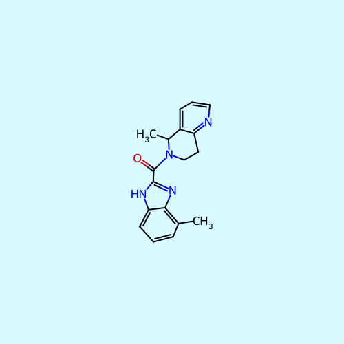 Cc1cccc2[nH]c(C(=O)N3CCc4ncccc4C3C)nc12